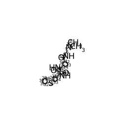 CCN(CC)CCCNC(=O)c1cccc(C2=C3C(=O)NC(c4ccc(Sc5ccccc5)cc4)=C3C(=O)N2)c1